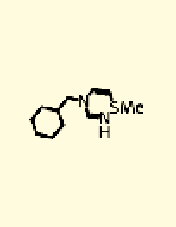 CS/C=C\N(C=N)CC1CCCCC1